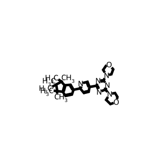 CC1(C)c2ccc(-c3ccc(-c4nc(N5CCOCC5)nc(N5CCOCC5)n4)cn3)cc2C(C)(C)C1(C)C